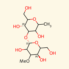 COC1C(O)[C@H](OC2C(O)C(C)OC(CO)[C@H]2O)OC(CO)[C@H]1O